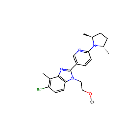 CCOCCn1c(-c2ccc(N3[C@@H](C)CC[C@@H]3C)nc2)nc2c(C)c(Br)ccc21